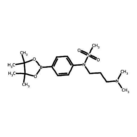 CN(C)CCCN(c1ccc(B2OC(C)(C)C(C)(C)O2)cc1)S(C)(=O)=O